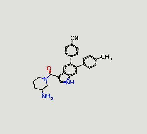 Cc1ccc(-c2cc3[nH]cc(C(=O)N4CCCC(N)C4)c3cc2-c2ccc(C#N)cc2)cc1